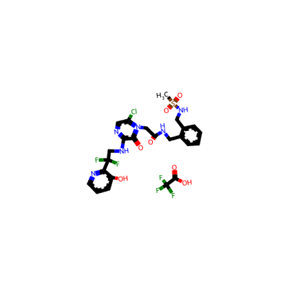 CS(=O)(=O)NCc1ccccc1CNC(=O)Cn1c(Cl)cnc(NCC(F)(F)c2ncccc2O)c1=O.O=C(O)C(F)(F)F